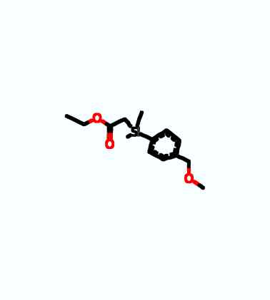 CCOC(=O)C[Si](C)(C)c1ccc(COC)cc1